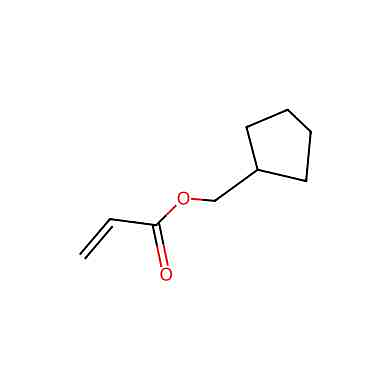 C=CC(=O)OCC1CCCC1